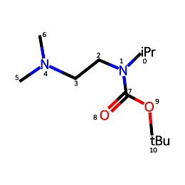 CC(C)N(CCN(C)C)C(=O)OC(C)(C)C